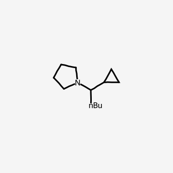 [CH2]CCCC(C1CC1)N1CCCC1